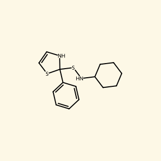 C1=CSC(SNC2CCCCC2)(c2ccccc2)N1